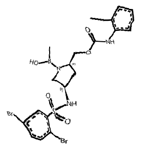 CB(O)N1C[C@H](NS(=O)(=O)c2cc(Br)ccc2Br)C[C@@H]1COC(=O)Nc1ccccc1C